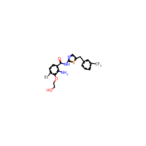 CCc1ccc(C(=O)Nc2ncc(Cc3cccc(C(F)(F)F)c3)s2)c(N)c1OCCO